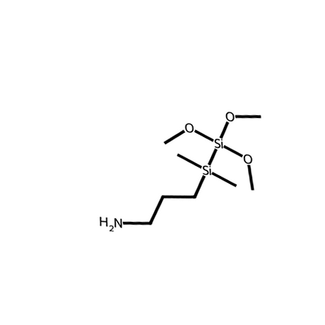 CO[Si](OC)(OC)[Si](C)(C)CCCN